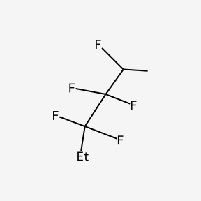 CCC(F)(F)C(F)(F)C(C)F